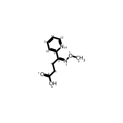 CO/N=C(/CCC(=O)O)c1ccccn1